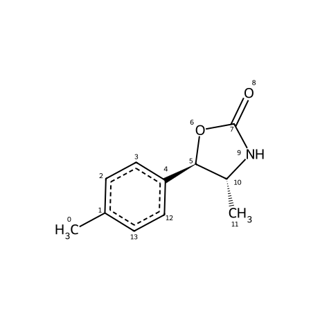 Cc1ccc([C@H]2OC(=O)N[C@@H]2C)cc1